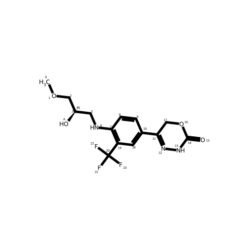 COC[C@H](O)CNc1ccc(C2=NNC(=O)OC2)cc1C(F)(F)F